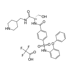 O=C(N[C@@H](CO)C(=O)NCC1CCNCC1)c1ccc(S(=O)(=O)Nc2ccccc2Oc2ccccc2)cc1.O=C(O)C(F)(F)F